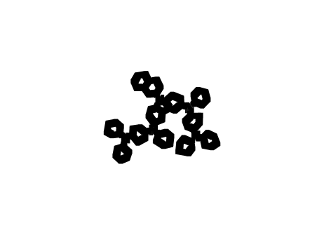 c1ccc(N(c2ccccc2)c2ccc(N(c3ccccc3)c3ccc4c(c3)c3cc(N(c5ccccc5)c5ccc(N(c6ccccc6)c6ccccc6)cc5)ccc3n4-c3ccc4ccccc4c3)cc2)cc1